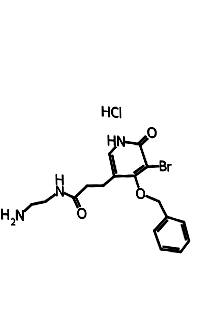 Cl.NCCNC(=O)CCc1c[nH]c(=O)c(Br)c1OCc1ccccc1